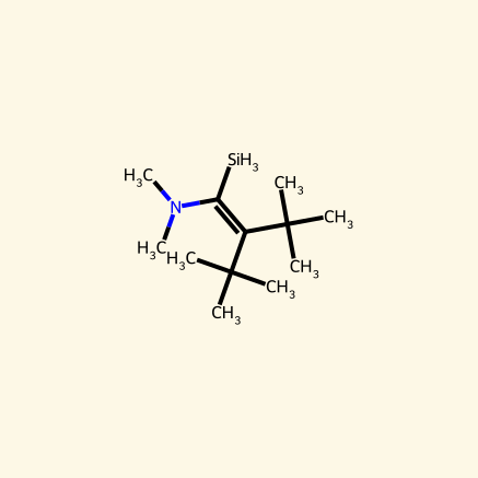 CN(C)C([SiH3])=C(C(C)(C)C)C(C)(C)C